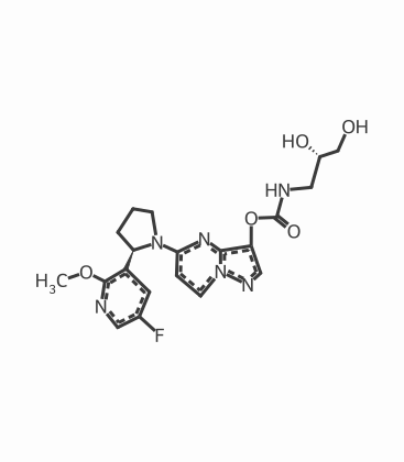 COc1ncc(F)cc1[C@H]1CCCN1c1ccn2ncc(OC(=O)NC[C@H](O)CO)c2n1